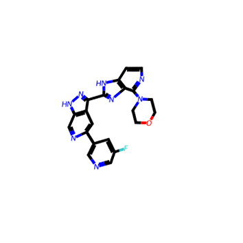 Fc1cncc(-c2cc3c(-c4nc5c(N6CCOCC6)nccc5[nH]4)n[nH]c3cn2)c1